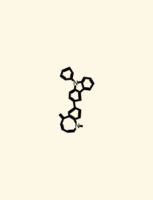 C=C1/C=C\C=C/N(C)c2ccc(-c3ccc4c(c3)c3ccccc3n4-c3ccccc3)cc21